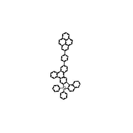 c1ccc([Si]2(c3ccccc3)c3cc4c5ccccc5c5cc(-c6ccc(-c7cc8ccc9cccc%10ccc(c7)c8c9%10)cc6)ccc5c4cc3-c3c2ccc2ccccc32)cc1